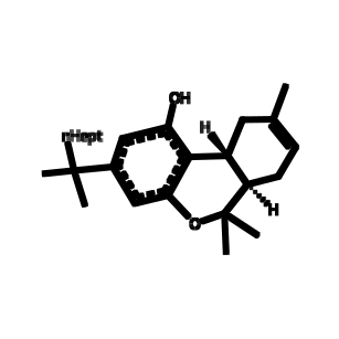 CCCCCCCC(C)(C)c1cc(O)c2c(c1)OC(C)(C)[C@@H]1CC=C(C)C[C@@H]21